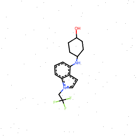 OC1CCC(Nc2cccc3c2ccn3CC(F)(F)F)CC1